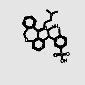 Cc1ccc(S(=O)(=O)O)cc1C(C(N)=O)c1cccc2c1C(=CCCN(C)C)c1ccccc1CO2